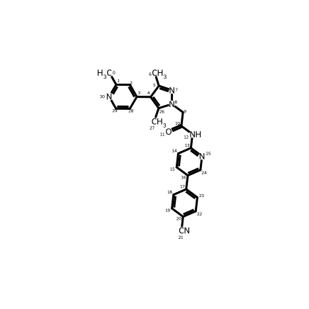 Cc1cc(-c2c(C)nn(CC(=O)Nc3ccc(-c4ccc(C#N)cc4)cn3)c2C)ccn1